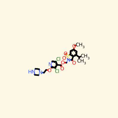 COc1cc(C(C)C)c2c(c1)S(=O)(=O)N(COC(=O)c1c(Cl)cnc(OCCN3CCNCC3)c1Cl)C2=O